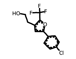 OCCc1cc(-c2ccc(Cl)cc2)oc1C(F)(F)F